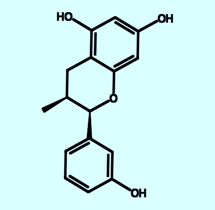 C[C@H]1Cc2c(O)cc(O)cc2O[C@H]1c1cccc(O)c1